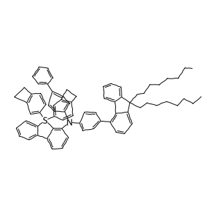 CCCCCCCCC1(CCCCCCCC)c2ccccc2-c2c(-c3ccc(N(c4ccc(-c5ccccc5)cc4)c4cccc5c4S(c4ccc6c(c4)CC6)(c4ccc6c(c4)CC6)c4ccccc4-5)cc3)cccc21